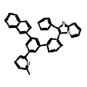 Cc1cccc(-c2cc(-c3cccc(-c4c(-c5ccccc5)nc5ccccn45)c3)cc(-c3ccc4ccccc4c3)c2)n1